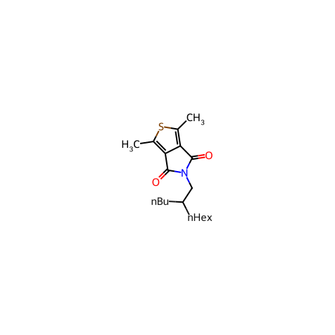 CCCCCCC(CCCC)CN1C(=O)c2c(C)sc(C)c2C1=O